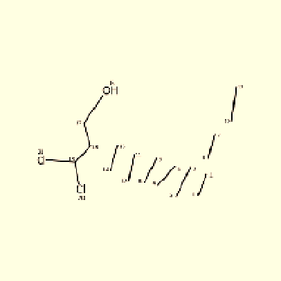 CC.CC.CC.CC.CC.CC.CC.CC.OCCC(Cl)Cl